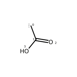 [C]C(=O)O